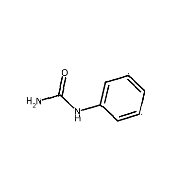 NC(=O)Nc1c[c]c[c]c1